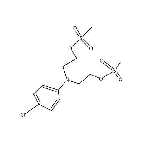 CS(=O)(=O)OCCN(CCOS(C)(=O)=O)c1ccc(Cl)cc1